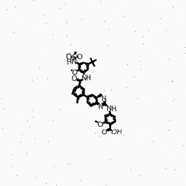 COc1cc(Nc2ncc3cc(-c4cc(C(=O)Nc5cc(C(C)(C)C)cc(NS(C)(=O)=O)c5OC)ccc4C)ccc3n2)ccc1C(=O)O